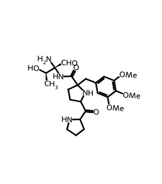 COc1cc(CC2(C(=O)N[C@](N)(C=O)[C@@H](C)O)CCC(C(=O)C3CCCN3)N2)cc(OC)c1OC